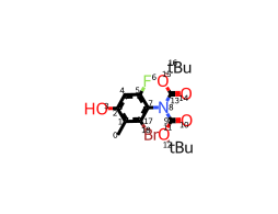 Cc1c(O)cc(F)c(N(C(=O)OC(C)(C)C)C(=O)OC(C)(C)C)c1Br